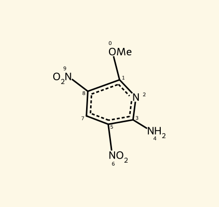 COc1nc(N)c([N+](=O)[O-])cc1[N+](=O)[O-]